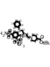 CC(C)(C)OC(=O)C1CCN(CC[C@H](CSc2ccccc2)Nc2ccc(S(N)(=O)=O)cc2S(=O)(=O)C(F)(F)F)CC1